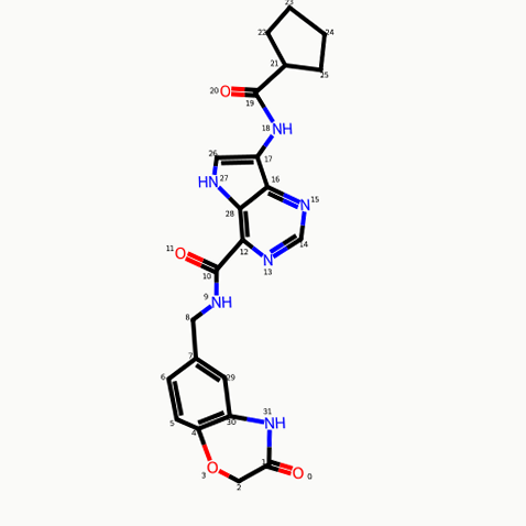 O=C1COc2ccc(CNC(=O)c3ncnc4c(NC(=O)C5CCCC5)c[nH]c34)cc2N1